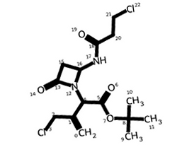 C=C(CCl)C(C(=O)OC(C)(C)C)N1C(=O)CC1NC(=O)CCCl